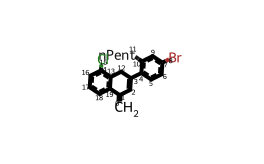 C=C1C=C(c2ccc(Br)cc2CCCCC)Cc2c(Cl)cccc21